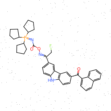 O=C(N=P(C1CCCC1)(C1CCCC1)C1CCCC1)O/N=C(\CF)c1ccc2[nH]c3ccc(C(=O)c4cccc5ccccc45)cc3c2c1